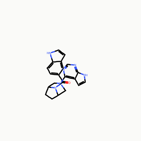 O=C(c1ccc2[nH]ccc2c1)N1C2CCC1CN(c1ncnc3[nH]ccc13)C2